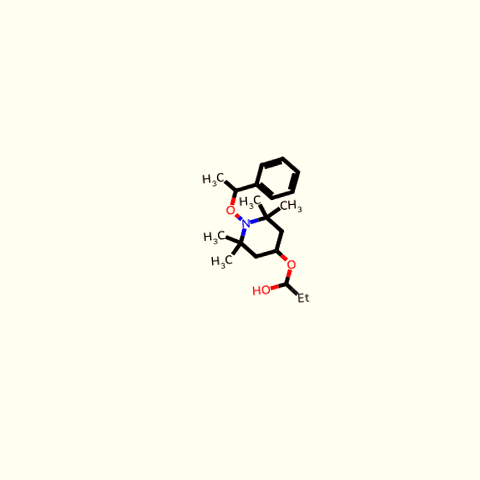 CCC(O)OC1CC(C)(C)N(OC(C)c2ccccc2)C(C)(C)C1